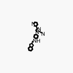 N#Cc1nc(-c2cccnc2)cn1-c1ccc(NCC2Cc3ccccc3C2)cc1